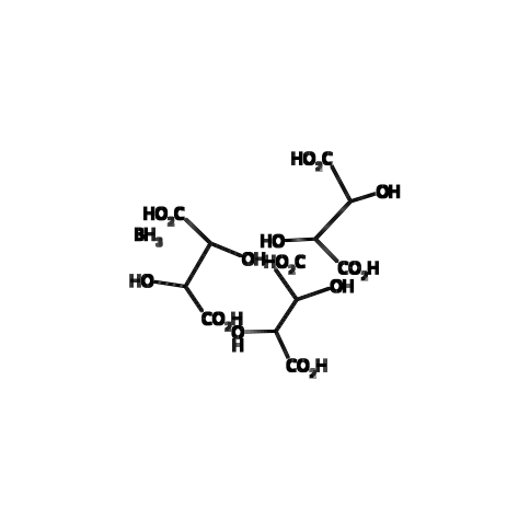 B.O=C(O)C(O)C(O)C(=O)O.O=C(O)C(O)C(O)C(=O)O.O=C(O)C(O)C(O)C(=O)O